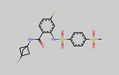 CS(=O)(=O)c1ccc(S(=O)(=O)Nc2cc(F)ccc2C(=O)NC23CC(F)(C2)C3)cc1